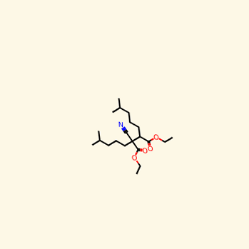 CCOC(=O)C(CCCC(C)C)C(C#N)(CCCC(C)C)C(=O)OCC